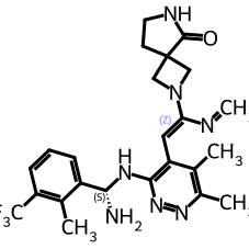 C=N/C(=C\c1c(N[C@H](N)c2cccc(C(F)(F)F)c2C)nnc(C)c1C)N1CC2(CCNC2=O)C1